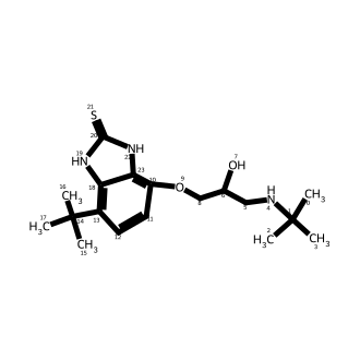 CC(C)(C)NCC(O)COc1ccc(C(C)(C)C)c2[nH]c(=S)[nH]c12